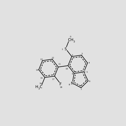 CSc1ccn2ccnc2c1-c1cccc(C)c1F